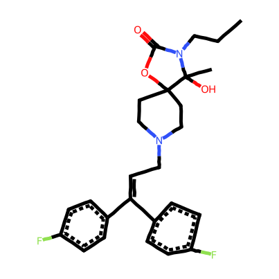 CCCN1C(=O)OC2(CCN(CC=C(c3ccc(F)cc3)c3ccc(F)cc3)CC2)C1(C)O